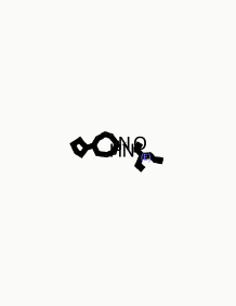 C=C/C=C(\C=C)C(=O)NN=C1CCCC(C2CCCC2)CCC1